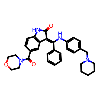 O=C1Nc2ccc(C(=O)N3CCOCC3)cc2/C1=C(/Nc1ccc(CN2CCCCC2)cc1)c1ccccc1